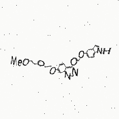 COCCOCCOc1ccc2c(OCOc3ccc4[nH]ccc4c3)ncnc2c1